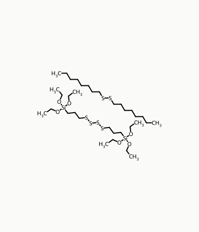 CCCCCCCCSSCCCCCCCC.CCO[Si](CCCSSSSCCC[Si](OCC)(OCC)OCC)(OCC)OCC